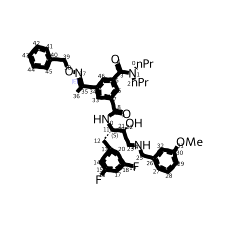 CCCN(CCC)C(=O)c1cc(C(=O)N[C@@H](Cc2cc(F)cc(F)c2)[C@H](O)CNCc2cccc(OC)c2)cc(/C(C)=N/OCc2ccccc2)c1